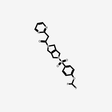 O=C(Cc1ncccn1)N1CC2=C(C1)CN(S(=O)(=O)c1ccc(OC(F)F)cc1)C2